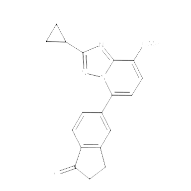 COc1ccc(-c2ccc3c(c2)CCC3=O)n2nc(C3CC3)nc12